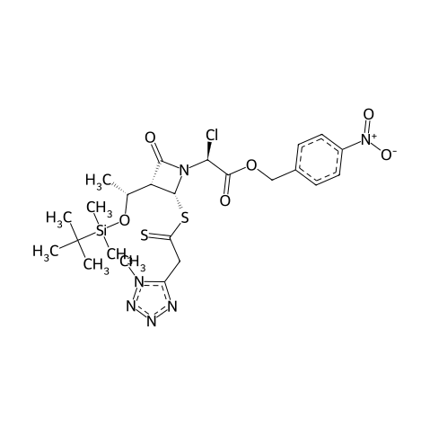 C[C@@H](O[Si](C)(C)C(C)(C)C)[C@@H]1C(=O)N([C@@H](Cl)C(=O)OCc2ccc([N+](=O)[O-])cc2)[C@@H]1SC(=S)Cc1nnnn1C